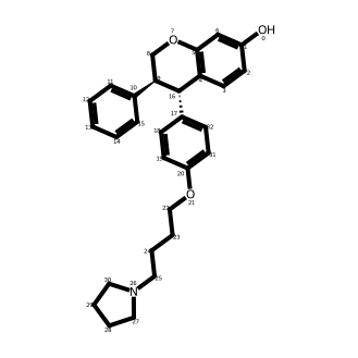 Oc1ccc2c(c1)OC[C@H](c1ccccc1)[C@H]2c1ccc(OCCCCN2CCCC2)cc1